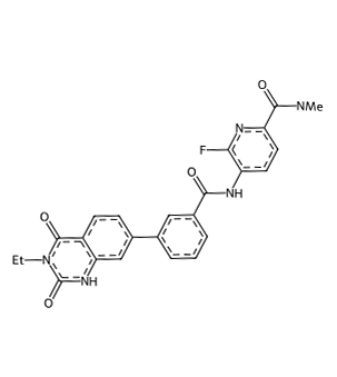 CCn1c(=O)[nH]c2cc(-c3cccc(C(=O)Nc4ccc(C(=O)NC)nc4F)c3)ccc2c1=O